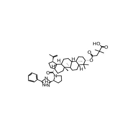 C=C(C)[C@@H]1CC[C@]2(C(=O)N3CCC[C@H]3c3nnc(-c4ccccc4)[nH]3)CC[C@]3(C)[C@H](CC[C@@H]4[C@@]5(C)CC[C@H](OC(=O)CC(C)(C)C(=O)O)C(C)(C)[C@@H]5CC[C@]43C)[C@@H]12